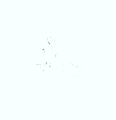 NC(=CC(=O)O)C1C=CC=CC1